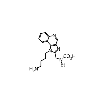 CCN(Cc1nc2cnc3ccccc3c2n1CCCCN)C(=O)O